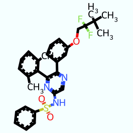 Cc1cccc(C)c1-c1nc(NS(=O)(=O)c2ccccc2)cnc1-c1cccc(OCC(F)(F)C(C)(C)C)c1